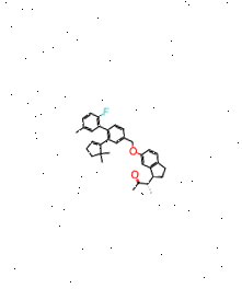 CC(=O)[C@@H](C)[C@@H]1CCc2ccc(OCc3ccc(-c4cc(C)ccc4F)c(C4=CCCC4(C)C)c3)cc21